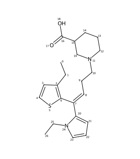 CCc1ccsc1C(=CCCN1CCCC(C(=O)O)C1)c1cccn1CC